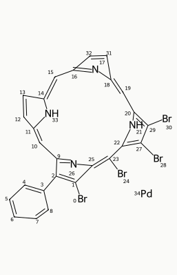 BrC1=C(c2ccccc2)c2cc3ccc(cc4nc(cc5[nH]c(c(Br)c1n2)c(Br)c5Br)C=C4)[nH]3.[Pd]